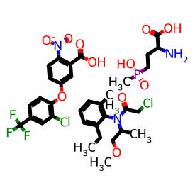 CCc1cccc(C)c1N(C(=O)CCl)C(C)COC.CP(=O)(O)CCC(N)C(=O)O.O=C(O)c1cc(Oc2ccc(C(F)(F)F)cc2Cl)ccc1[N+](=O)[O-]